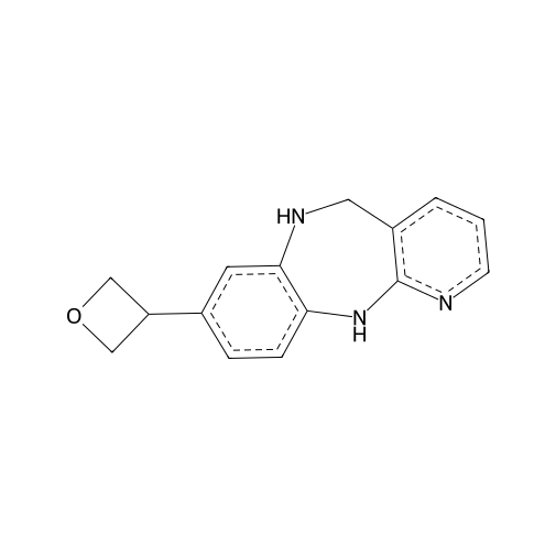 c1cnc2c(c1)CNc1cc(C3COC3)ccc1N2